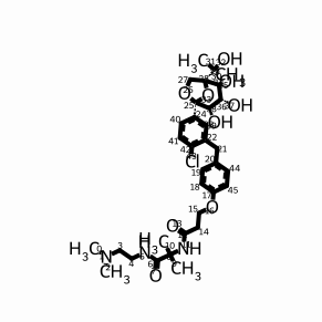 CN(C)CCNC(=O)C(C)(C)NC(=O)CCOc1ccc(Cc2cc([C@]34OC[C@](C(C)(C)O)(O3)[C@@H](O)[C@H](O)[C@H]4O)ccc2Cl)cc1